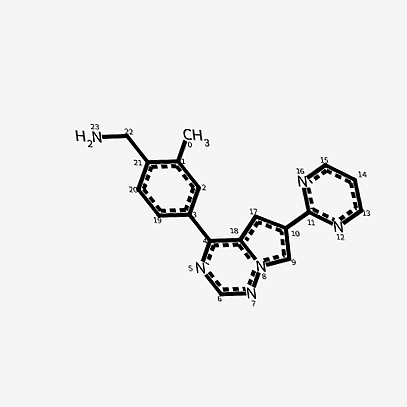 Cc1cc(-c2ncnn3cc(-c4ncccn4)cc23)ccc1CN